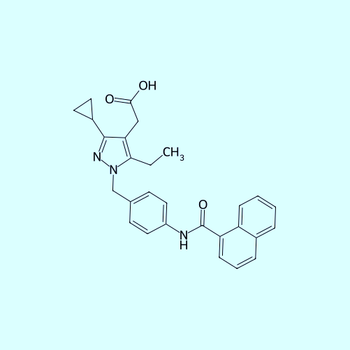 CCc1c(CC(=O)O)c(C2CC2)nn1Cc1ccc(NC(=O)c2cccc3ccccc23)cc1